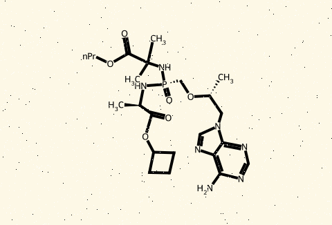 CCCOC(=O)C(C)(C)N[P@](=O)(CO[C@H](C)Cn1cnc2c(N)ncnc21)N[C@H](C)C(=O)OC1CCC1